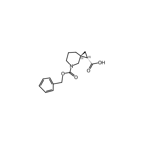 O=C(O)[C@H]1C[C@@]12CCCN(C(=O)OCc1ccccc1)C2